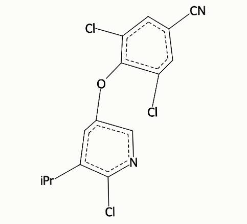 CC(C)c1cc(Oc2c(Cl)cc(C#N)cc2Cl)cnc1Cl